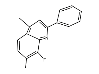 Cc1ccc2c(C)cc(-c3ccccc3)nc2c1F